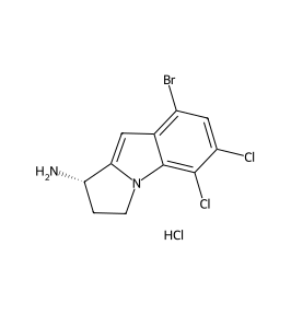 Cl.N[C@H]1CCn2c1cc1c(Br)cc(Cl)c(Cl)c12